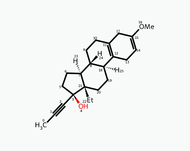 CC#C[C@]1(O)CC[C@H]2[C@@H]3CCC4=C(CC=C(OC)C4)[C@H]3CC[C@@]21CC